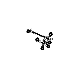 CC[C@@H](O)[C@@H](OCc1ccccc1)[C@H](CO[C@H]1OC(COCc2ccccc2)[C@H](OCc2ccccc2)C(OCc2ccccc2)C1OCc1ccccc1)NC(=O)CCCCCCCCCCCNC(=O)c1ccncc1